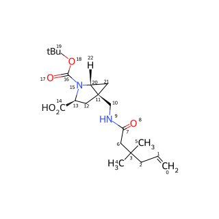 C=CCC(C)(C)CC(=O)NC[C@@]12C[C@@H](C(=O)O)N(C(=O)OC(C)(C)C)[C@@H]1C2